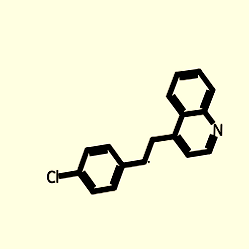 Clc1ccc([CH]Cc2ccnc3ccccc23)cc1